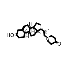 C[C@H](CN1CCC(=O)CC1)[C@H]1CC[C@H]2[C@@H]3CC=C4C[C@@H](O)CC[C@]4(C)[C@H]3CC[C@]12C